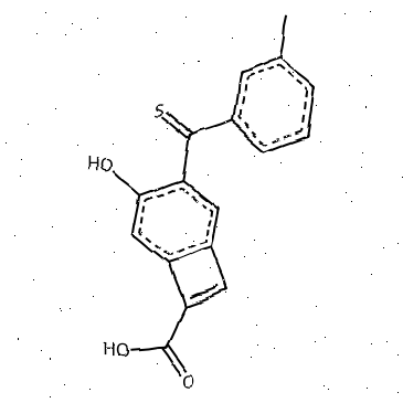 Cc1cccc(C(=S)c2cc3c(cc2O)C(C(=O)O)=C3)c1